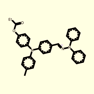 CCC(=O)Oc1ccc(N(c2ccc(C)cc2)c2ccc(/C=N/N(c3ccccc3)c3ccccc3)cc2)cc1